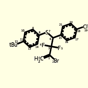 C=C(Br)C(F)(F)C(Sc1ccc(C(C)(C)C)cc1)c1ccc(Cl)cc1